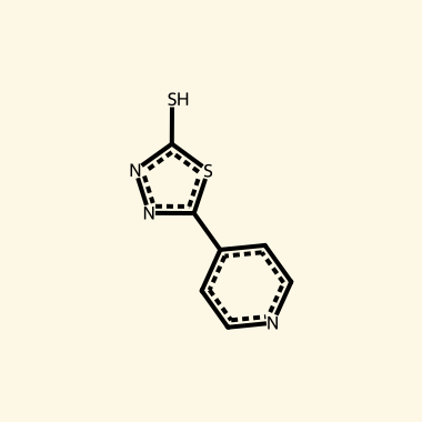 Sc1nnc(-c2ccncc2)s1